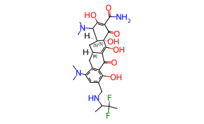 CC(NCc1cc(N(C)C)c2c(c1O)C(=O)C1=C(O)[C@]3(O)C(=O)C(C(N)=O)=C(O)C(N(C)C)[C@@H]3C[C@@H]1C2)C(C)(F)F